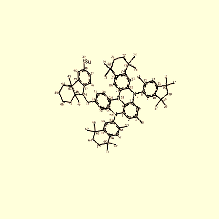 Cc1cc2c3c(c1)N(c1cc4c(cc1C)C(C)(C)CC4(C)C)c1cc4c(cc1B3c1ccc(CC3c5ccc(C(C)(C)C)cc5C5(C)CCCCC35C)cc1N2c1cc2c(cc1C)C(C)(C)CCC2(C)C)C(C)(C)CCC4(C)C